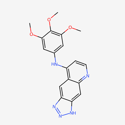 COc1cc(Nc2ccnc3cc4[nH]nnc4cc23)cc(OC)c1OC